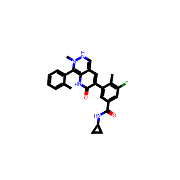 Cc1ccccc1C1=c2[nH]c(=O)c(-c3cc(C(=O)NC4CC4)cc(F)c3C)cc2=CNN1C